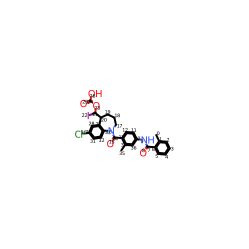 Cc1ccccc1C(=O)Nc1ccc(C(=O)N2CCCC(C(I)OC(=O)O)c3cc(Cl)ccc32)c(C)c1